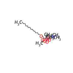 CCCCCCCCCCCCCCCCOCC(OC(C)=O)C(OP(=O)([O-])OCC[N+](C)(C)C)C(C)C